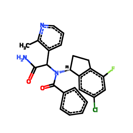 Cc1ncccc1C(C(N)=O)N(C(=O)c1ccccc1)[C@@H]1CCc2c(F)cc(Cl)cc21